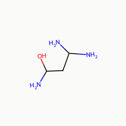 NC(N)CC(N)O